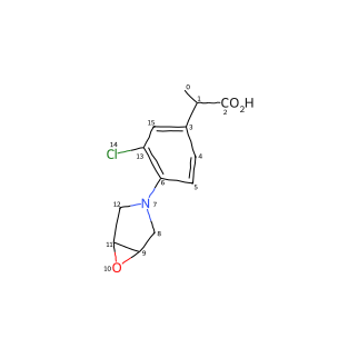 CC(C(=O)O)c1ccc(N2CC3OC3C2)c(Cl)c1